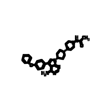 CC(=O)NN1CCN([C@H]2CC[C@@H](n3cc(-c4ccc(Oc5ccccc5)cc4)c4c(N)ncnc43)CC2)CC1